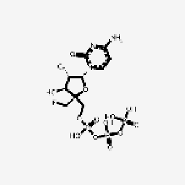 Nc1ccn([C@@H]2O[C@](CF)(COP(=O)(O)OP(=O)(O)OP(=O)(O)O)[C@@H](O)[C@@H]2Cl)c(=O)n1